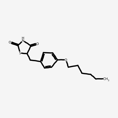 CCCCCCOc1ccc(CC2SC(=O)NC2=O)cc1